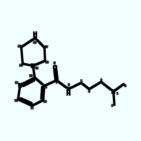 CN(C)CCCNC(=O)c1cccnc1N1CCNCC1